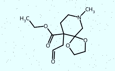 CCOC(=O)C1(CC=O)CCN(C)CC12OCCO2